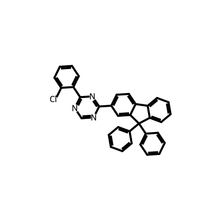 Clc1ccccc1-c1ncnc(-c2ccc3c(c2)C(c2ccccc2)(c2ccccc2)c2ccccc2-3)n1